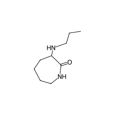 CCCNC1CCCCNC1=O